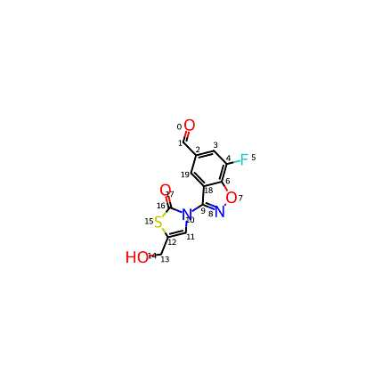 O=Cc1cc(F)c2onc(-n3cc(CO)sc3=O)c2c1